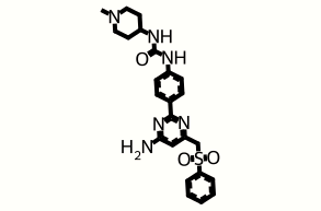 CN1CCC(NC(=O)Nc2ccc(-c3nc(N)cc(CS(=O)(=O)c4ccccc4)n3)cc2)CC1